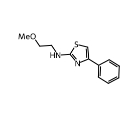 COCCNc1nc(-c2ccccc2)cs1